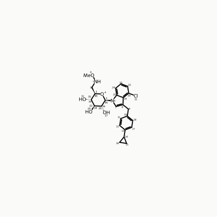 CONC[C@H]1O[C@@H](n2cc(Cc3ccc(C4CC4)cc3)c3c(Cl)cccc32)[C@H](O)[C@@H](O)[C@@H]1O